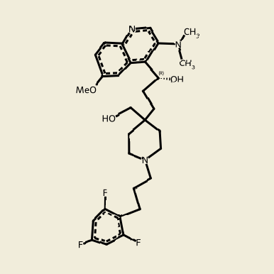 COc1ccc2ncc(N(C)C)c([C@H](O)CCC3(CO)CCN(CCCc4c(F)cc(F)cc4F)CC3)c2c1